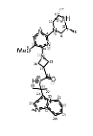 COc1cnc(N2C[C@H](C)N[C@@H](C)C2)nc1N1CC(C(=O)NC(C)(C)c2cnc3ccccn23)C1